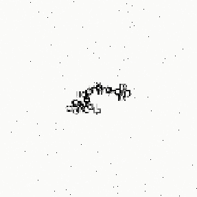 CC1(C)c2ccc(C3(O)CCN(Cc4cnc(N5CCN(c6cc(F)c(N7C(=O)CCCC7=O)c(F)c6)CC5)cn4)CC3)cc2-n2c1nc(=O)c1c(Cl)cccc12